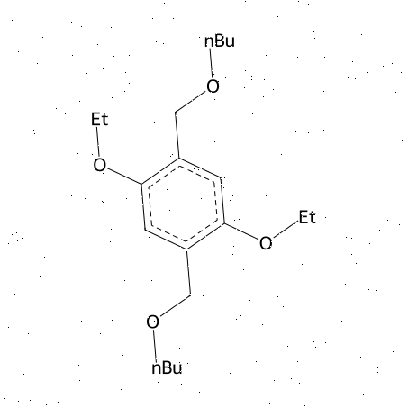 CCCCOCc1cc(OCC)c(COCCCC)cc1OCC